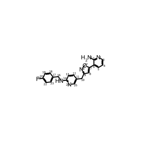 Nc1ncccc1-c1cc(Cc2ccc(NCc3ccc(F)cc3)nc2)no1